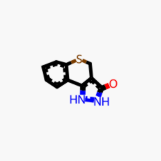 O=c1[nH][nH]c2c1CSc1ccccc1-2